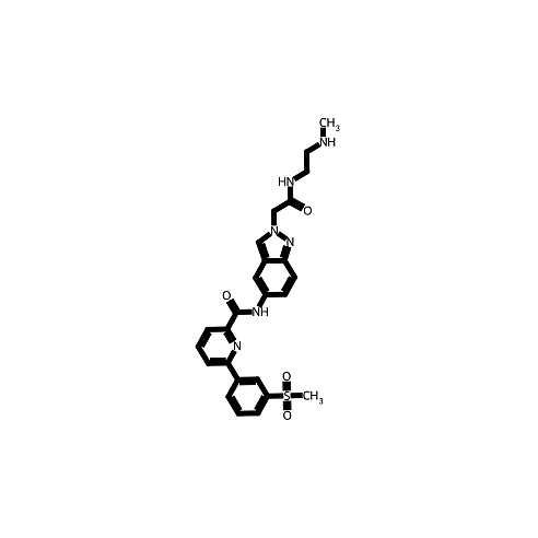 CNCCNC(=O)Cn1cc2cc(NC(=O)c3cccc(-c4cccc(S(C)(=O)=O)c4)n3)ccc2n1